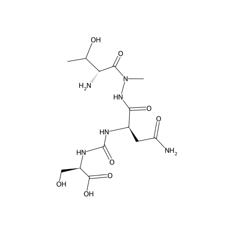 CC(O)[C@@H](N)C(=O)N(C)NC(=O)[C@@H](CC(N)=O)NC(=O)N[C@H](CO)C(=O)O